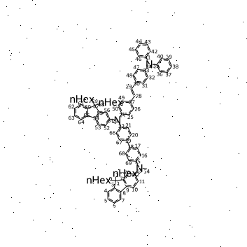 CCCCCCC1(CCCCCC)c2ccccc2-c2ccc(N(C)c3ccc(-c4ccc(N(c5ccc(/C=C/c6ccc(N(c7ccccc7)c7ccccc7)cc6)cc5)c5ccc6c(c5)C(CCCCCC)(CCCCCC)c5ccccc5-6)cc4)cc3)cc21